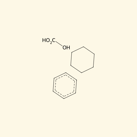 C1CCCCC1.O=C(O)O.c1ccccc1